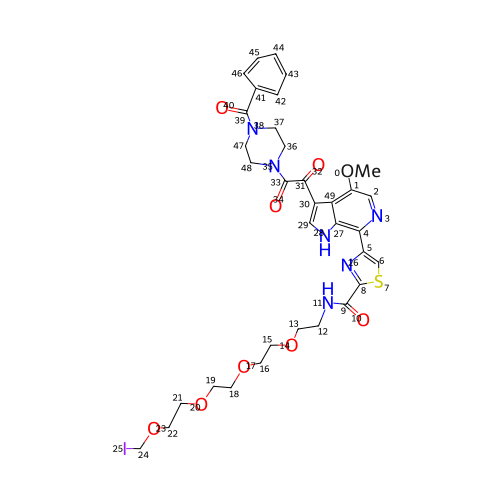 COc1cnc(-c2csc(C(=O)NCCOCCOCCOCCOCI)n2)c2[nH]cc(C(=O)C(=O)N3CCN(C(=O)c4ccccc4)CC3)c12